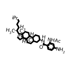 CC(=O)Nc1cc(N)ccc1C(=O)N[C@@H]1CC[C@@]2(C)C(CC[C@H]3[C@@H]4CC[C@H]([C@H](C)CCCC(C)C)[C@@]4(C)CC[C@@H]32)C1